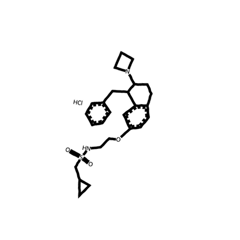 Cl.O=S(=O)(CC1CC1)NCCOc1ccc2c(c1)C(Cc1ccccc1)C(N1CCC1)CC2